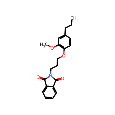 CCCc1ccc(OCCCN2C(=O)c3ccccc3C2=O)c(OC)c1